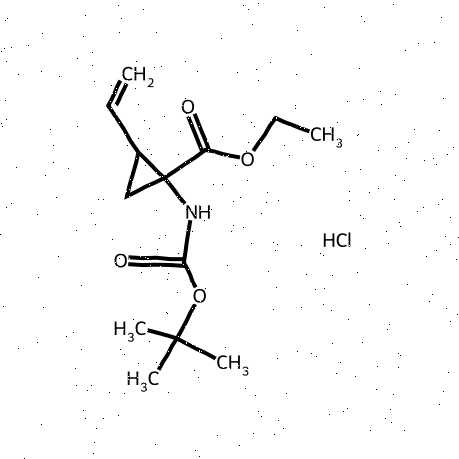 C=CC1CC1(NC(=O)OC(C)(C)C)C(=O)OCC.Cl